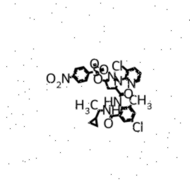 Cc1cc(Cl)cc(C(=O)NC(C)C2CC2)c1NC(=O)C1CC(OS(=O)(=O)c2ccc([N+](=O)[O-])cc2)=NN1c1ncccc1Cl